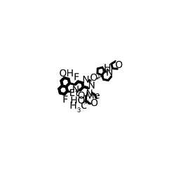 CCc1c(F)ccc2cc(O)cc(-c3nc(OC)c4c(N5CCOC[C@@](C)(O)C5)nc(OC[C@]56CCC[C@H]5N(C5CCOC5)CCC6)nc4c3F)c12